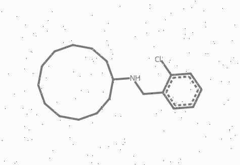 Clc1ccccc1CNC1CCCCCCCCCCC1